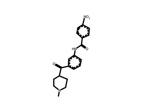 CN1CCC(C(=O)c2cccc(NC(=O)c3ccc([N+](=O)[O-])cc3)c2)CC1